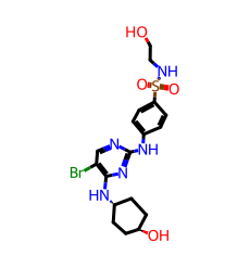 O=S(=O)(NCCO)c1ccc(Nc2ncc(Br)c(N[C@H]3CC[C@H](O)CC3)n2)cc1